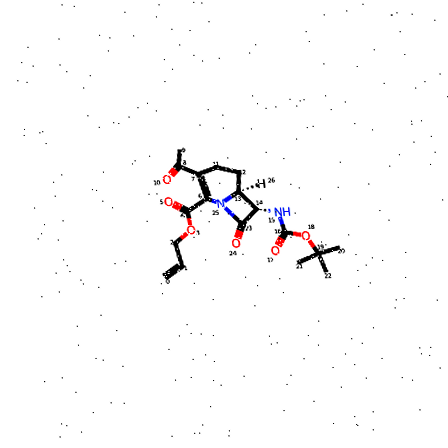 C=CCOC(=O)C1=C(C(C)=O)CC[C@H]2[C@H](NC(=O)OC(C)(C)C)C(=O)N12